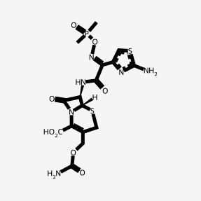 CP(C)(=O)ON=C(C(=O)N[C@@H]1C(=O)N2C(C(=O)O)=C(COC(N)=O)CS[C@@H]12)c1csc(N)n1